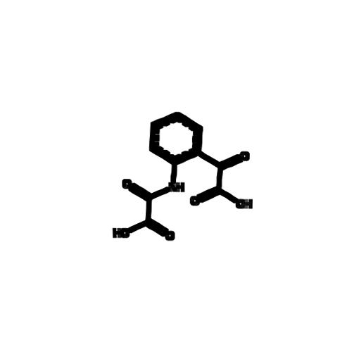 O=C(O)C(=O)Nc1ccccc1C(=O)C(=O)O